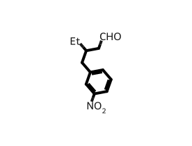 CCC(CC=O)Cc1cccc([N+](=O)[O-])c1